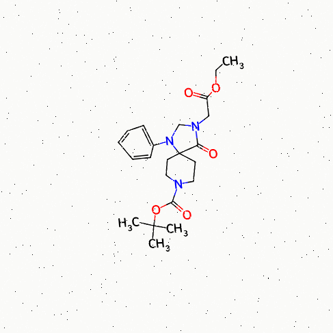 CCOC(=O)CN1CN(c2ccccc2)C2(CCN(C(=O)OC(C)(C)C)CC2)C1=O